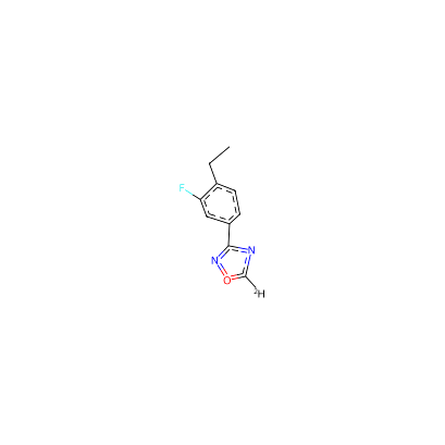 [2H]c1nc(-c2ccc(CC)c(F)c2)no1